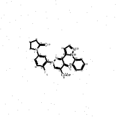 COc1cn(-c2cc(N3CCCC3=O)ccc2F)nc(-c2ccnn2-c2ccccc2)c1=O